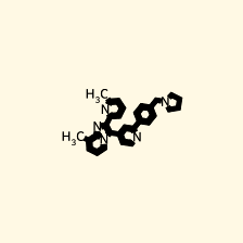 Cc1cccc(-c2nc3c(C)cccn3c2-c2ccnc(-c3ccc(CN4CCCC4)cc3)c2)n1